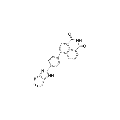 O=C1NC(=O)c2ccc(-c3ccc(-c4nc5ccccc5[nH]4)cc3)c3cccc1c23